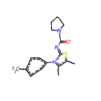 Cc1sc(=NC(=O)N2CCCC2)n(-c2ccc(C(F)(F)F)cc2)c1C